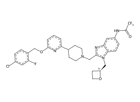 O=C(Nc1ccc2c(c1)nc(CN1CCC(c3cccc(OCc4ccc(Cl)cc4F)n3)CC1)n2C[C@@H]1CCO1)C(F)(F)F